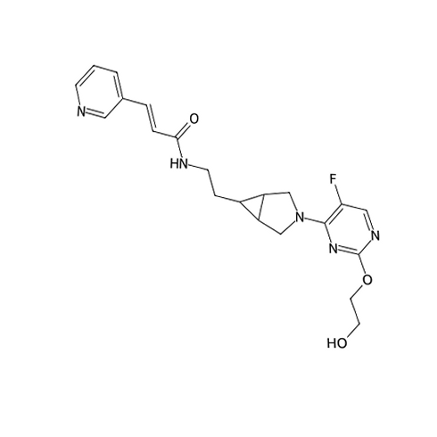 O=C(/C=C/c1cccnc1)NCCC1C2CN(c3nc(OCCO)ncc3F)CC12